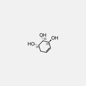 O[C@@H]1[C@@H](O)C=CC[C@@H]1O